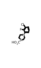 O=C(O)N1CCN(c2cccc(Cl)c2F)CC1